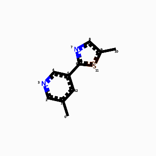 Cc1cncc(-c2ncc(C)s2)c1